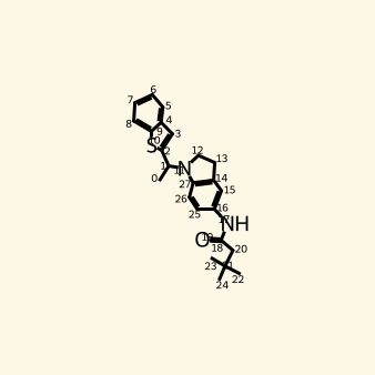 CC(c1cc2ccccc2s1)N1CCc2cc(NC(=O)CC(C)(C)C)ccc21